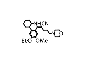 CCOc1cc2c(cc1OC)/C(=C(/C#N)CCCN1CCOCC1)NC1CCCCC21